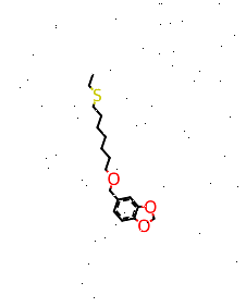 CCSCCCCCCCOCc1ccc2c(c1)OCO2